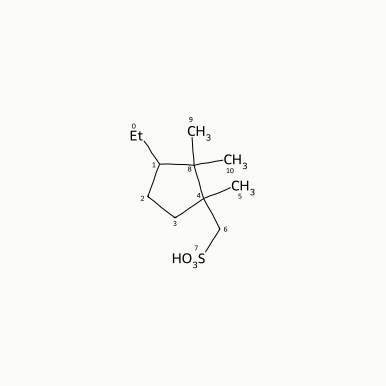 CCC1CCC(C)(CS(=O)(=O)O)C1(C)C